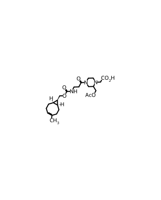 CC(=O)OCC1CN(C(=O)CCNC(=O)OC[C@@H]2[C@@H]3CC/C=C(/C)CC[C@@H]32)CCN1CC(=O)O